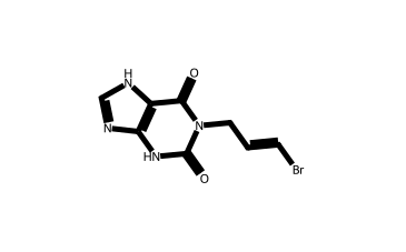 O=c1[nH]c2nc[nH]c2c(=O)n1CC=CBr